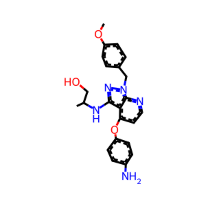 COc1ccc(Cn2nc(NC(C)CO)c3c(Oc4ccc(N)cc4)ccnc32)cc1